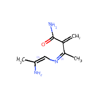 C=C(C(N)=O)/C(C)=N\C=C(\C)N